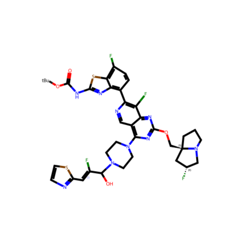 CC(C)(C)OC(=O)Nc1nc2c(-c3ncc4c(N5CCN(C(O)/C(F)=C/c6nccs6)CC5)nc(OC[C@@]56CCCN5C[C@H](F)C6)nc4c3F)ccc(F)c2s1